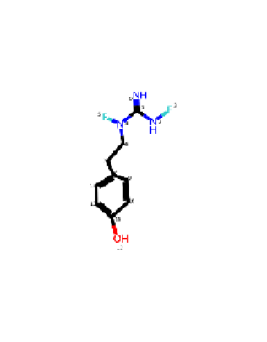 N=C(NF)N(F)CCc1ccc(O)cc1